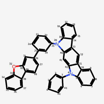 c1ccc(-n2c3ccccc3c3cc4c5ccccc5n(-c5cccc(-c6ccc7c(c6)oc6ccccc67)c5)c4cc32)cc1